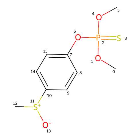 COP(=S)(OC)Oc1ccc([S+](C)[O-])cc1